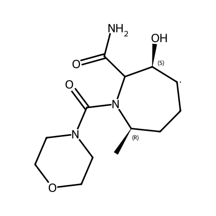 C[C@@H]1CC[CH][C@H](O)C(C(N)=O)N1C(=O)N1CCOCC1